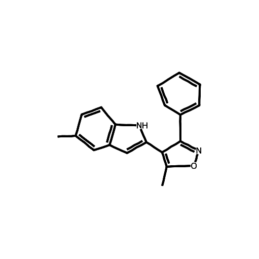 Cc1ccc2[nH]c(-c3c(-c4ccccc4)noc3C)cc2c1